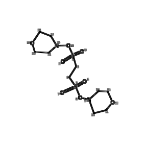 O=S(=O)(CCS(=O)(=O)ON1CCOCC1)ON1CCOCC1